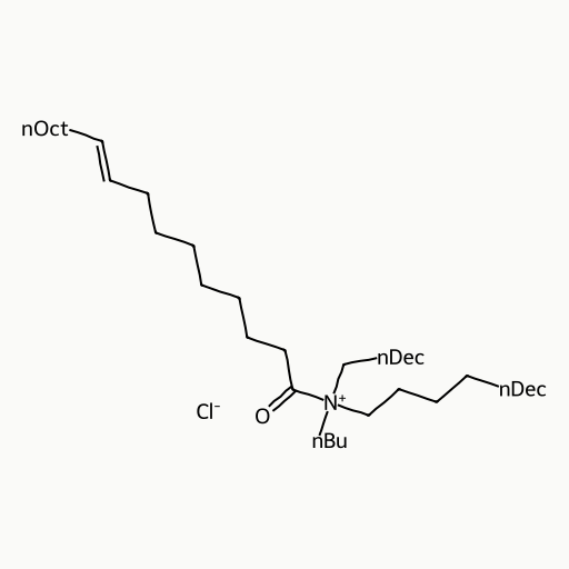 CCCCCCCCC=CCCCCCCCC(=O)[N+](CCCC)(CCCCCCCCCCC)CCCCCCCCCCCCCC.[Cl-]